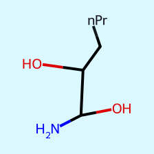 CCCCC(O)C(N)O